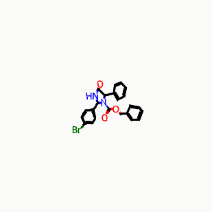 O=C1NC(c2ccc(Br)cc2)N(C(=O)OCc2ccccc2)C1c1ccccc1